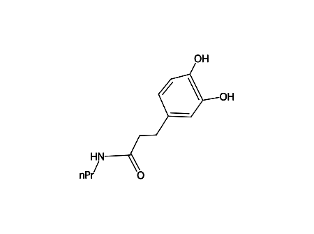 CCCNC(=O)CCc1ccc(O)c(O)c1